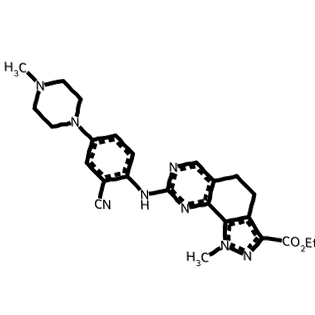 CCOC(=O)c1nn(C)c2c1CCc1cnc(Nc3ccc(N4CCN(C)CC4)cc3C#N)nc1-2